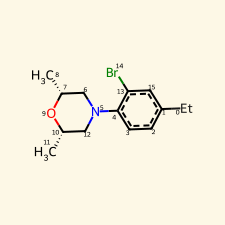 CCc1ccc(N2C[C@@H](C)O[C@@H](C)C2)c(Br)c1